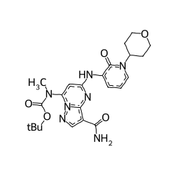 CN(C(=O)OC(C)(C)C)c1cc(Nc2cccn(C3CCOCC3)c2=O)nc2c(C(N)=O)cnn12